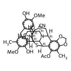 COc1cc2c(cc1O)CCN[C@]21CS[C@@H]2c3c(OC(C)=O)c(C)c4c(c3[C@H](COC1=O)N1C2[C@H]2c3c(cc(C)c(OC)c3O)C[C@H]([C@@H]1C#N)N2C)OCO4